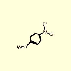 COc1ccc(N(Cl)Cl)cc1